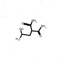 CC(O)CC(C(N)=O)C(N)=O